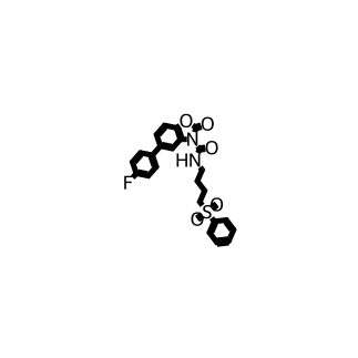 O=C(NCCCCS(=O)(=O)c1cc#ccc1)n1c(=O)oc2ccc(-c3ccc(F)cc3)cc21